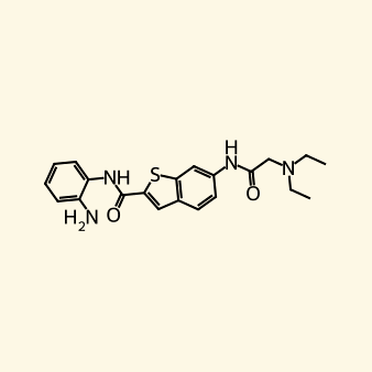 CCN(CC)CC(=O)Nc1ccc2cc(C(=O)Nc3ccccc3N)sc2c1